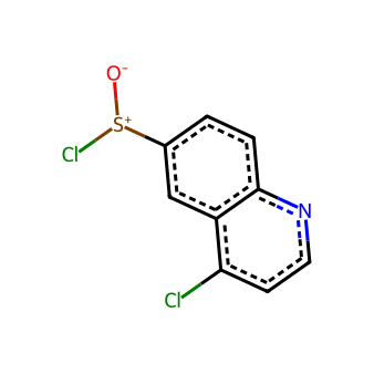 [O-][S+](Cl)c1ccc2nccc(Cl)c2c1